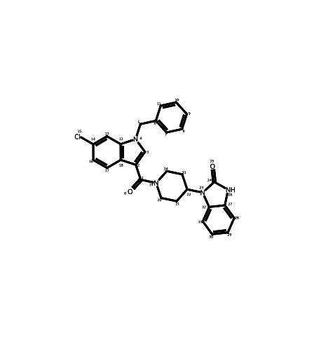 O=C(c1cn(Cc2ccccc2)c2cc(Cl)ccc12)N1CCC(n2c(=O)[nH]c3ccccc32)CC1